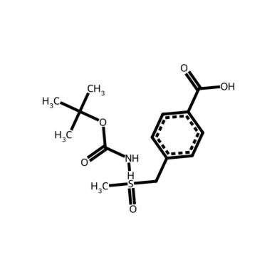 CC(C)(C)OC(=O)N[SH](C)(=O)Cc1ccc(C(=O)O)cc1